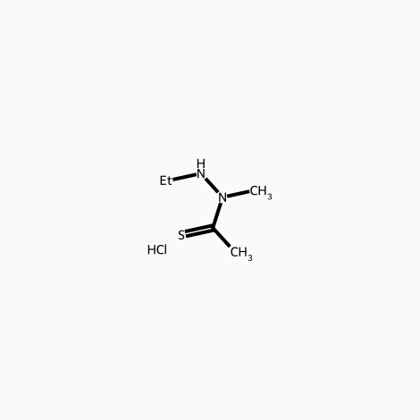 CCNN(C)C(C)=S.Cl